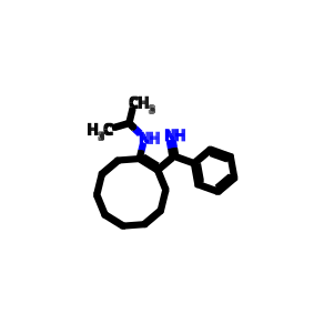 CC(C)N/C1=C(\C(=N)c2ccccc2)CCCCCCCC1